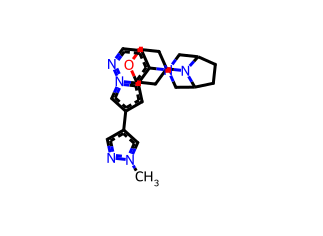 Cn1cc(-c2cc3c(N4CC5CCC(C4)N5C4CCOCC4)ccnn3c2)cn1